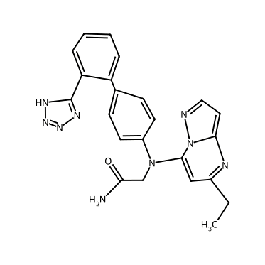 CCc1cc(N(CC(N)=O)c2ccc(-c3ccccc3-c3nnn[nH]3)cc2)n2nccc2n1